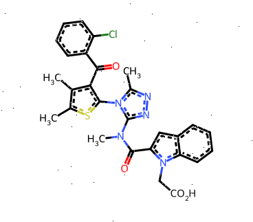 Cc1sc(-n2c(C)nnc2N(C)C(=O)c2cc3ccccc3n2CC(=O)O)c(C(=O)c2ccccc2Cl)c1C